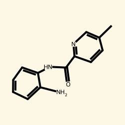 Cc1ccc(C(=O)Nc2ccccc2N)nc1